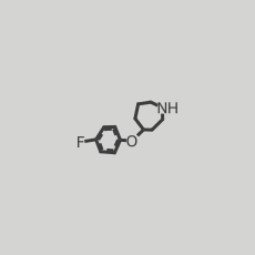 Fc1ccc(OC2CCCNCC2)cc1